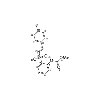 COC(=O)Oc1ccccc1S(=O)(=O)/N=C/c1ccc(C)cc1